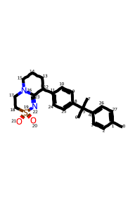 Cc1ccc(C(C)(C)c2ccc(C3CCCN4CCS(=O)(=O)N=C34)cc2)cc1